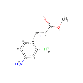 COC(=O)/C=C/c1ccc(N)cc1.Cl